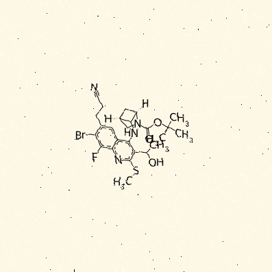 CSc1nc2c(F)c(Br)c(CCC#N)cc2c(NC2[C@@H]3C[C@H]2N(C(=O)OC(C)(C)C)C3)c1C(C)O